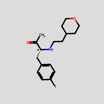 CC(=O)[C@@H](Cc1ccc(I)cc1)NCCC1CCOCC1